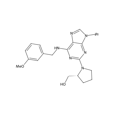 COc1cccc(CNc2nc(N3CCC[C@@H]3CO)nc3c2ncn3C(C)C)c1